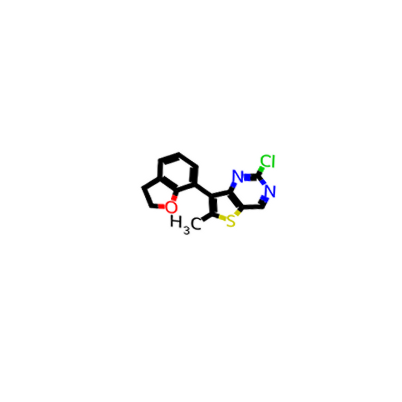 Cc1sc2cnc(Cl)nc2c1-c1cccc2c1OCC2